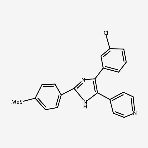 CSc1ccc(-c2nc(-c3cccc(Cl)c3)c(-c3ccncc3)[nH]2)cc1